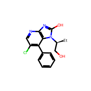 CC[C@@H](CO)n1c(O)nc2ncc(Cl)c(-c3ccccc3)c21